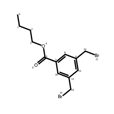 CCCCOC(=O)c1cc(CBr)cc(CBr)c1